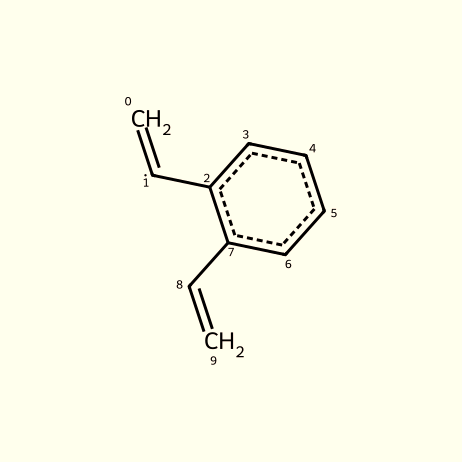 C=[C]c1ccccc1C=C